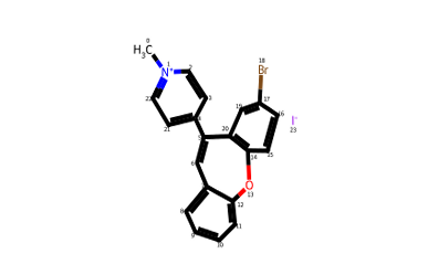 C[n+]1ccc(C2=Cc3ccccc3Oc3ccc(Br)cc32)cc1.[I-]